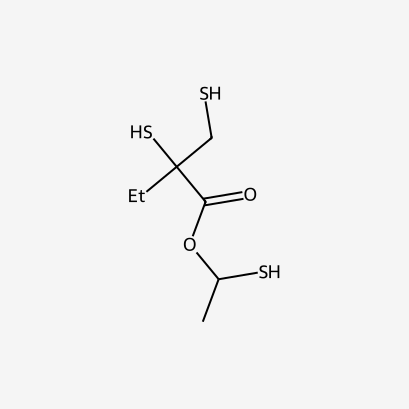 CCC(S)(CS)C(=O)OC(C)S